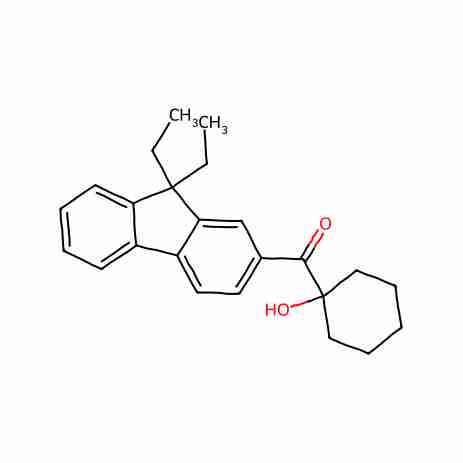 CCC1(CC)c2ccccc2-c2ccc(C(=O)C3(O)CCCCC3)cc21